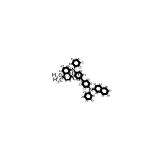 CC1(C)CCC(C)(C)c2c(N(c3ccccc3)c3ccc(-c4ccc(N(c5ccccc5)c5ccc6ccccc6c5)cc4)cc3)cccc21